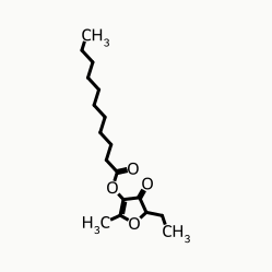 CCCCCCCCCCC(=O)OC1=C(C)OC(CC)C1=O